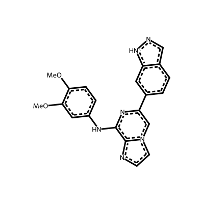 COc1ccc(Nc2nc(-c3ccc4cn[nH]c4c3)cn3ccnc23)cc1OC